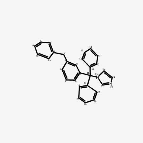 c1ccc(Cc2cccc(C(c3ccccc3)(c3ccccc3)n3ccnc3)c2)cc1